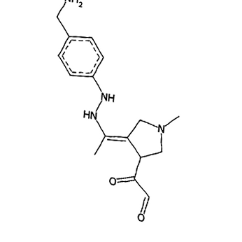 CC(NNc1ccc(CN)cc1)=C1CN(C)CC1C(=O)C=O